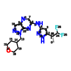 C[C@H](c1cc(Nc2cnc3cnn(CC4CCOCC4)c3n2)n[nH]1)C(F)F